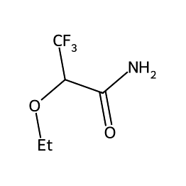 CCOC(C(N)=O)C(F)(F)F